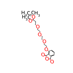 CC(C)(C)OC(=O)CCOCCOCCOCCOc1cccc2c1C(=O)OC2=O